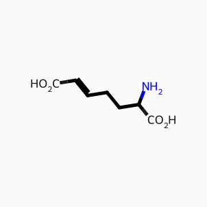 NC(CCC=CC(=O)O)C(=O)O